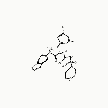 CN(C(=O)[C@H](Cc1cc(F)cc(F)c1)NC(=O)NS(=O)(=O)N1CCOCC1)c1ccc2scnc2c1